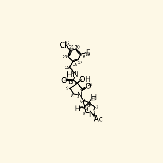 CC(=O)N1C[C@@H]2[C@H](C1)[C@H]2N1CCC(O)(C(=O)NCc2cc(F)cc(Cl)c2)C1=O